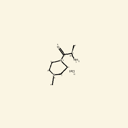 C[C@@H](N)C(=O)N1CCN(C)CC1.Cl